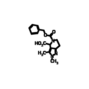 Cc1c2c(nn1C)CCN(C(=O)OCc1ccccc1)C2C(=O)O